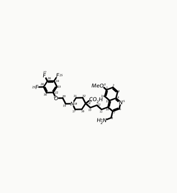 COc1ccc2ncc(CN)c(CCCC3(C(=O)O)CCN(CCOc4cc(F)c(F)c(F)c4)CC3)c2c1